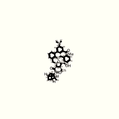 CNC(=O)c1cc(-c2cccc(CN3O[C@@H](CO)[C@@H]([C@H](C)O)[C@H]3C(=O)NC3C[C@H]4C[C@@H]([C@@H]3C)C4(C)C)c2OCc2ccccc2)cc(N(C)C)c1